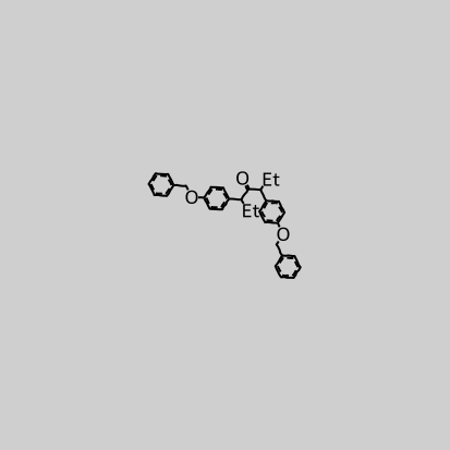 CCC(C(=O)C(CC)c1ccc(OCc2ccccc2)cc1)c1ccc(OCc2ccccc2)cc1